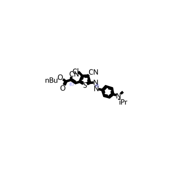 CCCCOC(=O)/C(C#N)=C/c1sc(/N=N/c2ccc(N(C)C(C)C)cc2)c(C#N)c1Cl